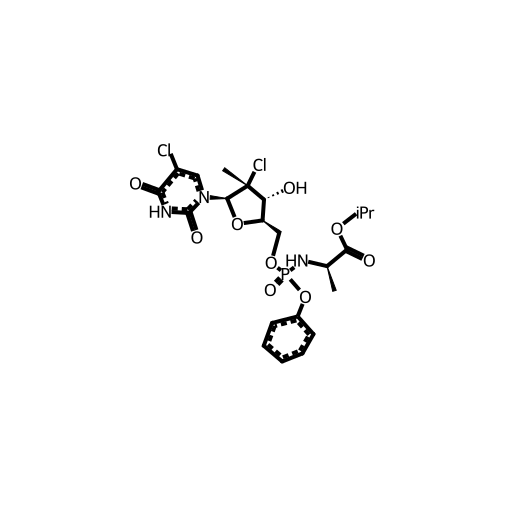 CC(C)OC(=O)[C@@H](C)NP(=O)(OC[C@H]1O[C@@H](n2cc(Cl)c(=O)[nH]c2=O)[C@](C)(Cl)[C@@H]1O)Oc1ccccc1